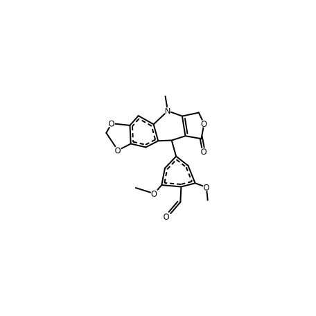 COc1cc(C2C3=C(COC3=O)N(C)c3cc4c(cc32)OCO4)cc(OC)c1C=O